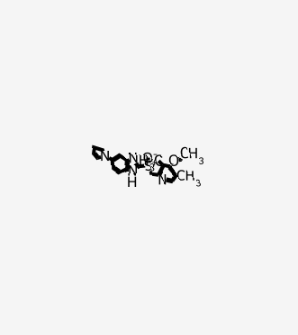 CCOc1c(C)cnc(C[S+]([O-])c2nc3cc(-n4cccc4)ccc3[nH]2)c1C